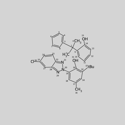 CC(C)(c1ccccc1)c1ccccc1O.Cc1cc(-n2nc3ccc(Cl)cc3n2)c(O)c(C(C)(C)C)c1